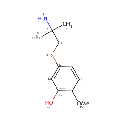 CCCCC(C)(N)CSc1ccc(OC)c(O)c1